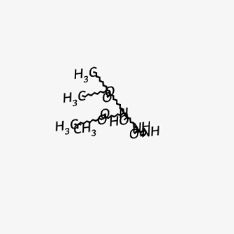 CCCCCCCCC(CCCCCCCC)OC(=O)CCCCCCCN(CCCCCC(=O)OCCCCCCCC(C)C)CC(O)CCCCNC(=O)c1cc[nH]c1